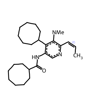 C/C=C\c1ncc(NC(=O)C2CCCCCCC2)c(C2CCCCCCC2)c1NC